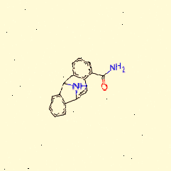 NC(=O)c1cccc2c1C=C1NC2c2ccccc21